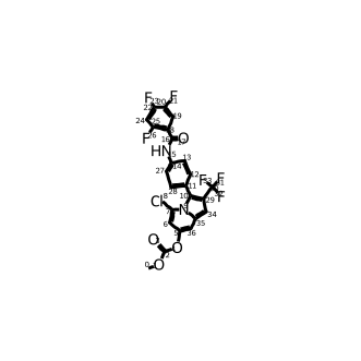 COC(=O)Oc1cc(Cl)n2c(-c3ccc(NC(=O)c4cc(F)c(F)cc4F)cc3)c(C(F)(F)F)cc2c1